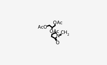 C=CN1CCCC1=O.CC(=O)OCC(COC(C)=O)OC(C)=O